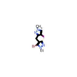 CCn1ncc(Cc2nn(C)cc2I)c1Br